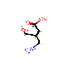 NCC(CO)CC(=O)O